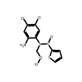 CCOCN(c1cc(Cl)c(Cl)cc1N)[S+]([O-])c1cccs1